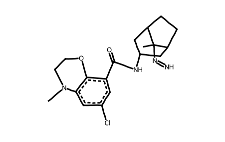 CN1CCOc2c(C(=O)NC3CC4CCC(C3)C4(C)N=N)cc(Cl)cc21